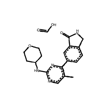 Cc1cnc(NC2CCOCC2)nc1-c1ccc2c(c1)C(=O)NC2.O=CO